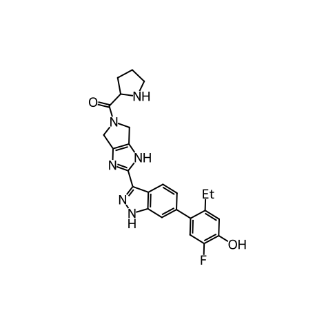 CCc1cc(O)c(F)cc1-c1ccc2c(-c3nc4c([nH]3)CN(C(=O)C3CCCN3)C4)n[nH]c2c1